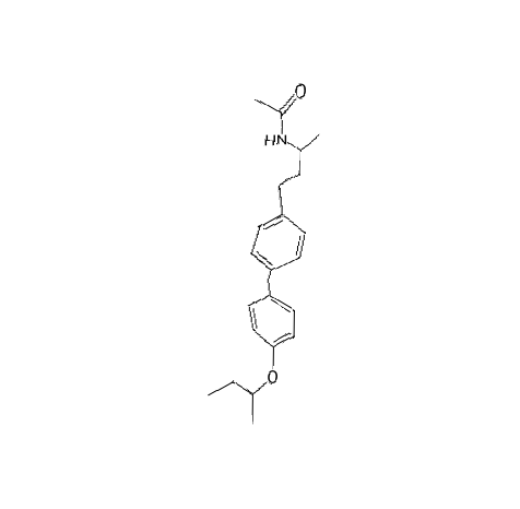 CCC(C)Oc1ccc(-c2ccc(CCC(C)NC(C)=O)cc2)cc1